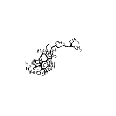 C=C(C)CCC[C@@H](C)[C@H]1CC[C@]2(C)[C@@H]1CC[C@@H]1[C@]3(C)[C@@H](CC[C@]12C)C(C)(C)C(O)C(O)(O)C3(O)O